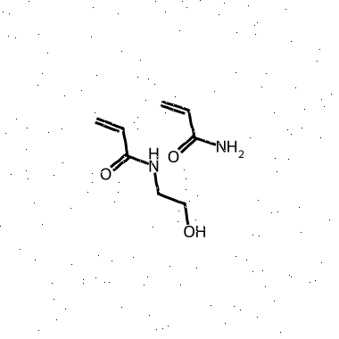 C=CC(=O)NCCO.C=CC(N)=O